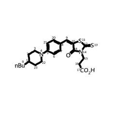 CCCCC1CCN(c2ccc(C=C3SC(=S)N(CCC(=O)O)C3=O)cc2)CC1